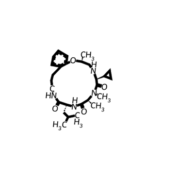 CC(C)C[C@H]1NC(=O)[C@@H](C)N(C)C(=O)[C@H](C2CC2)NC[C@@H](C)Oc2ccccc2CCCNC1=O